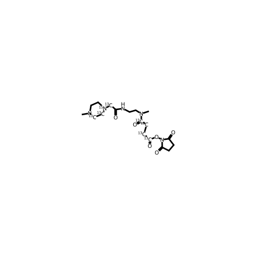 CN1CC[15N]([13CH2]C(=O)NCCN(C)[13C](=O)[13CH2][13CH2][13C](=O)ON2C(=O)CCC2=O)[13CH2][13CH2]1